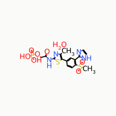 Cc1nc(NC(=O)COP(=O)(O)O)sc1-c1ccc(S(C)(=O)=O)c(-c2ncc[nH]2)c1.O